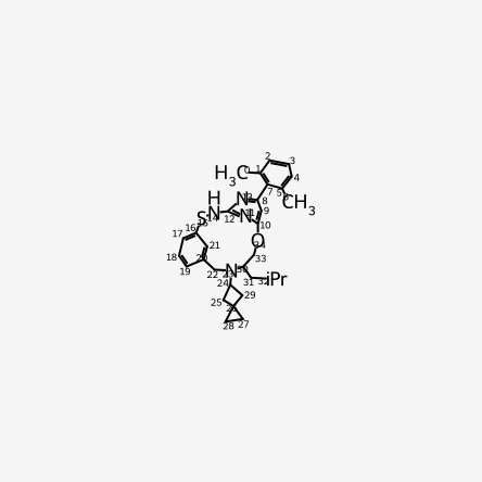 Cc1cccc(C)c1-c1cc2nc(n1)NSc1cccc(c1)CN(C1CC3(CC3)C1)C(CC(C)C)CO2